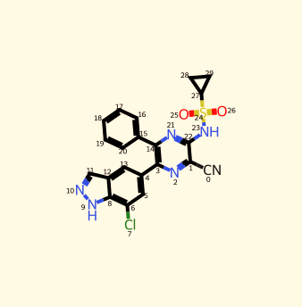 N#Cc1nc(-c2cc(Cl)c3[nH]ncc3c2)c(-c2ccccc2)nc1NS(=O)(=O)C1CC1